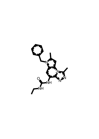 CCNC(=O)Nc1cc2c(cc(C)n2Cc2ccccc2)n2c(C)nnc12